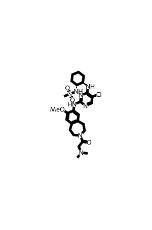 COc1cc2c(cc1Nc1ncc(Cl)c(N[C@@H]3CCCC[C@H]3NS(C)(=O)=O)n1)CCN(C(=O)CN(C)C)CC2